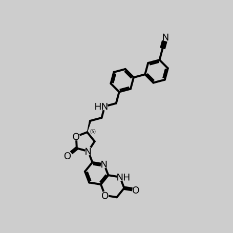 N#Cc1cccc(-c2cccc(CNCC[C@H]3CN(c4ccc5c(n4)NC(=O)CO5)C(=O)O3)c2)c1